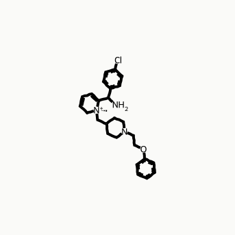 C[N@+]1(CC2CCN(CCOc3ccccc3)CC2)CC=CC=C1C(N)c1ccc(Cl)cc1